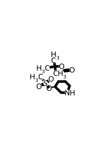 CC(C)(C)OC=O.CS(=O)(=O)O[C@H]1CCCNC1